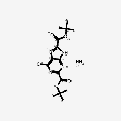 CC(C)(C)OC(=O)c1nc(Cl)c2nc(C(=O)OC(C)(C)C)[nH]c2n1.N